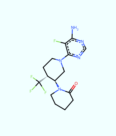 Nc1ncnc(N2CC[C@@H](C(F)(F)F)[C@H](N3CCCCC3=O)C2)c1F